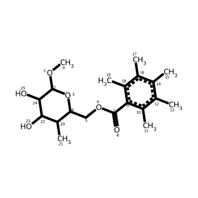 COC1OC(COC(=O)c2c(C)c(C)c(C)c(C)c2C)C(C)C(O)C1O